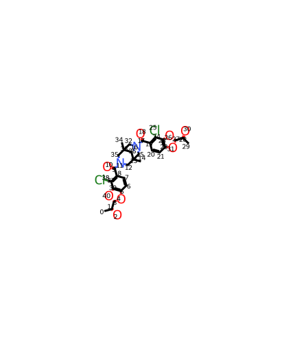 CC(=O)C1Oc2ccc(C(=O)N3CC4(C)CN(C(=O)c5ccc6c(c5Cl)OC(C(C)=O)O6)CC(C)(C3)C4)c(Cl)c2O1